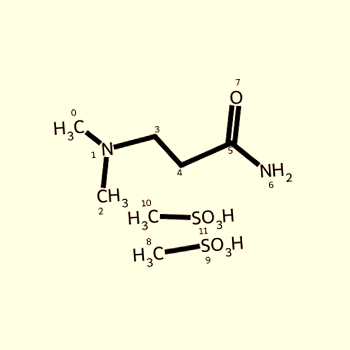 CN(C)CCC(N)=O.CS(=O)(=O)O.CS(=O)(=O)O